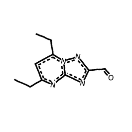 CCc1cc(CC)n2nc(C=O)nc2n1